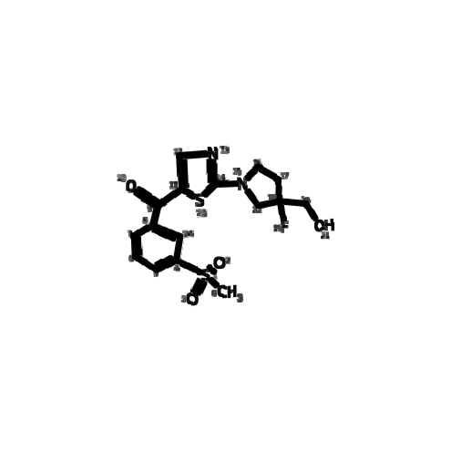 CS(=O)(=O)c1cccc(C(=O)c2cnc(N3CCC(F)(CO)C3)s2)c1